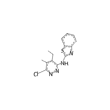 CCc1c(Nc2nc3ccccc3s2)nnc(Cl)c1C